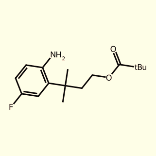 CC(C)(C)C(=O)OCCC(C)(C)c1cc(F)ccc1N